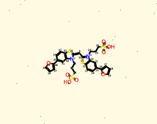 O=S(=O)(O)CCCN1C(=Cc2sc3ccc(-c4ccco4)cc3[n+]2CCCS(=O)(=O)O)Sc2ccc(-c3ccco3)cc21